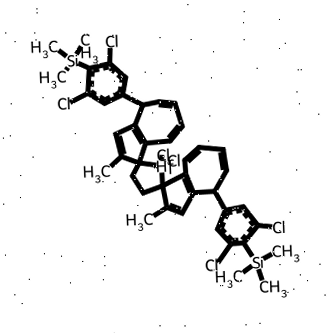 CC1=CC2=C(C=CC=CC2c2cc(Cl)c([Si](C)(C)C)c(Cl)c2)[C]12CC[C]1(C(C)=CC3=C1C=CC=CC3c1cc(Cl)c([Si](C)(C)C)c(Cl)c1)[Hf]2([Cl])[Cl]